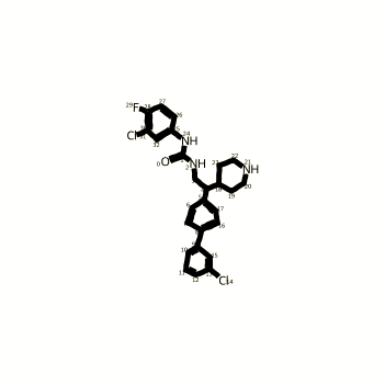 O=C(NCC(c1ccc(-c2cccc(Cl)c2)cc1)C1CCNCC1)Nc1ccc(F)c(Cl)c1